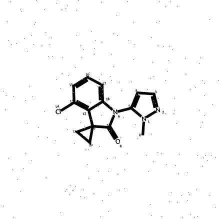 Cn1nccc1N1C(=O)C2(CC2)c2c(Cl)cccc21